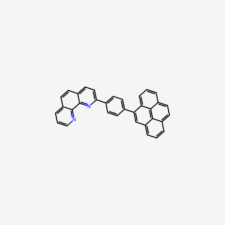 c1cnc2c(c1)ccc1ccc(-c3ccc(-c4cc5cccc6ccc7cccc4c7c65)cc3)nc12